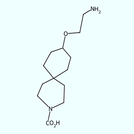 NCCOC1CCC2(CC1)CCN(C(=O)O)CC2